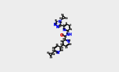 O=C(Nc1cccc(-c2nncn2C2CC2)n1)c1cc(-c2ccc(C3CC3)nc2)ccn1